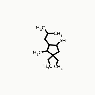 CCC1(CC)CC(S)C(CC(C)C)C1C